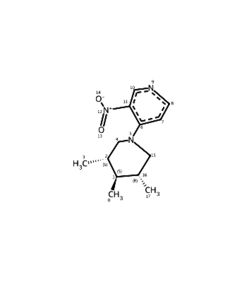 C[C@H]1[C@H](C)CN(c2ccncc2[N+](=O)[O-])C[C@@H]1C